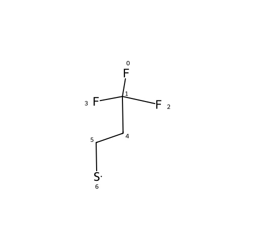 FC(F)(F)CC[S]